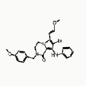 CO/C=C/c1c(Br)c(Nc2ccccc2)c2n1CCN(Cc1ccc(OC)cc1)C2=O